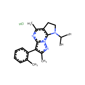 CCCC(CCC)N1CCc2c(C)nc3c(-c4ccccc4C)c(C)nn3c21.Cl